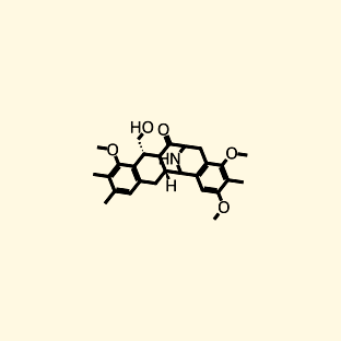 COc1cc2c(c(OC)c1C)CC1NC2[C@@H]2Cc3cc(C)c(C)c(OC)c3[C@H](CO)C2C1=O